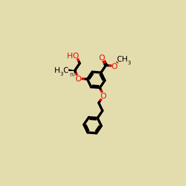 COC(=O)c1cc(OCCc2ccccc2)cc(O[C@@H](C)CO)c1